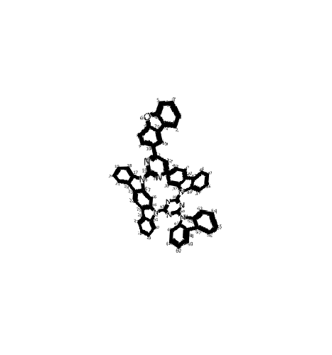 c1ccc2c(c1)oc1ccc(-c3ccnc(-n4c5ccccc5c5cc6c7ccccc7n(-c7nc(-n8c9ccccc9c9ccccc98)nc(-n8c9ccccc9c9ccccc98)n7)c6cc54)n3)cc12